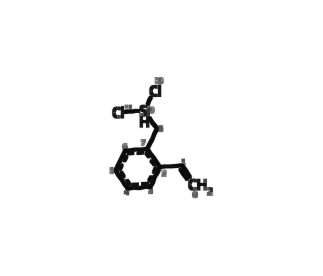 C=Cc1ccccc1C[SiH](Cl)Cl